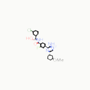 CO[C@@H]1CCC[C@H](c2cnc(N)c(-c3ccc(C(=O)N[C@H](CO)c4cccc(Cl)c4)c(F)c3)n2)C1